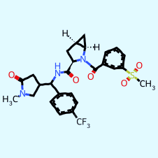 CN1CC(C(NC(=O)[C@H]2C[C@H]3C[C@H]3N2C(=O)c2cccc(S(C)(=O)=O)c2)c2ccc(C(F)(F)F)cc2)CC1=O